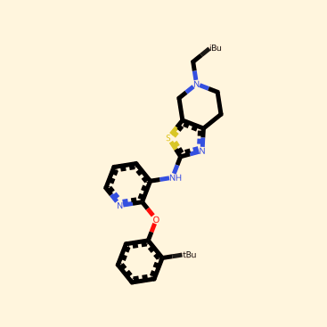 CCC(C)CN1CCc2nc(Nc3cccnc3Oc3ccccc3C(C)(C)C)sc2C1